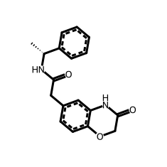 C[C@@H](NC(=O)Cc1ccc2c(c1)NC(=O)CO2)c1ccccc1